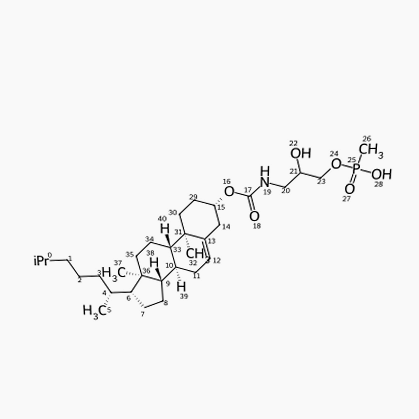 CC(C)CCC[C@@H](C)[C@H]1CC[C@H]2[C@@H]3CC=C4C[C@@H](OC(=O)NCC(O)COP(C)(=O)O)CC[C@]4(C)[C@H]3CC[C@]12C